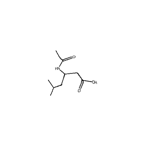 CC(=O)NC(CC(=O)O)CC(C)C